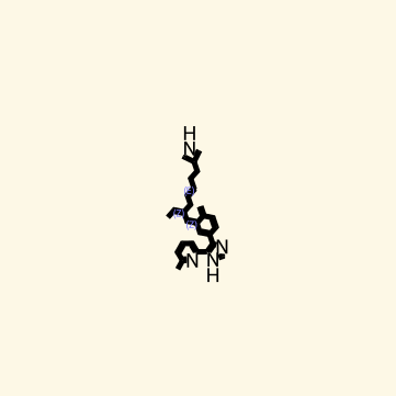 C=c1ccc(-c2nc[nH]c2-c2cccc(C)n2)c/c1=C/C(=C\C)C/C=C/CCC1CNC1